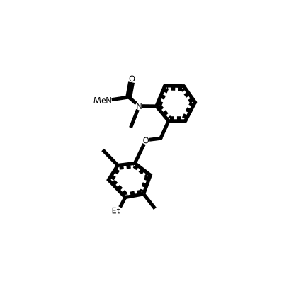 CCc1cc(C)c(OCc2ccccc2N(C)C(=O)NC)cc1C